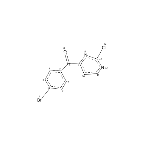 O=C(c1ccc(Br)cc1)c1ccnc(Cl)n1